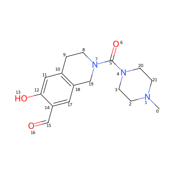 CN1CCN(C(=O)N2CCc3cc(O)c(C=O)cc3C2)CC1